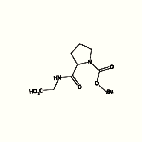 CC(C)(C)OC(=O)N1CCCC1C(=O)NCC(=O)O